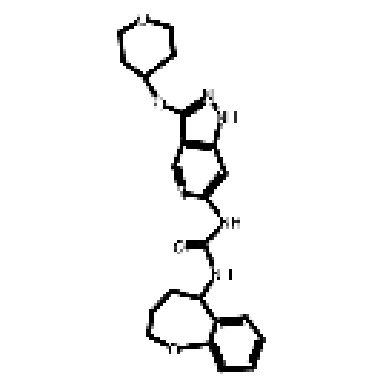 O=C(Nc1cc2[nH]nc(OC3CCOCC3)c2cn1)NC1CCCOc2ccccc21